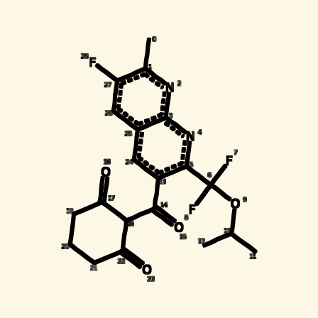 Cc1nc2nc(C(F)(F)OC(C)C)c(C(=O)C3C(=O)CCCC3=O)cc2cc1F